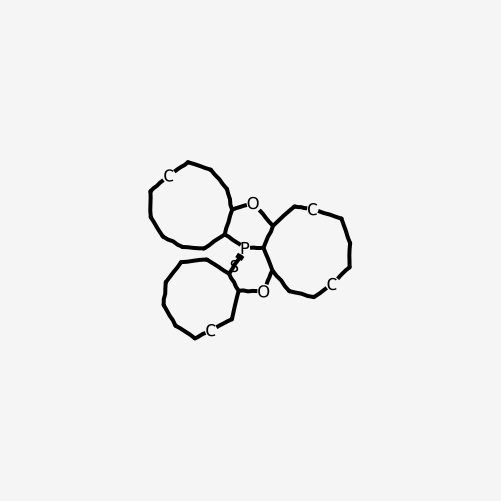 S=P12C3CCCCCCCCCC3OC3CCCCCCCCC(OC4CCCCCCCCC41)C32